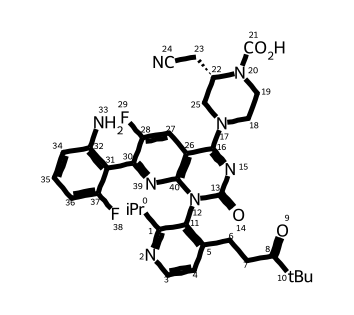 CC(C)c1nccc(CCC(=O)C(C)(C)C)c1-n1c(=O)nc(N2CCN(C(=O)O)[C@@H](CC#N)C2)c2cc(F)c(-c3c(N)cccc3F)nc21